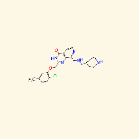 O=c1[nH]c(COc2cc(C(F)(F)F)ccc2Cl)nc2c(CNCC3CCNCC3)nccc12